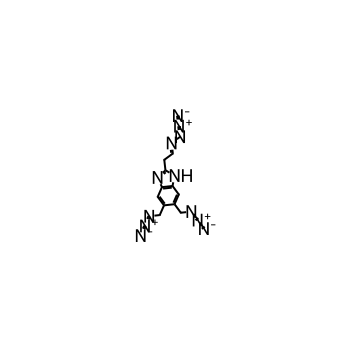 [N-]=[N+]=NCc1cc2nc(CC=NN=[N+]=[N-])[nH]c2cc1CN=[N+]=[N-]